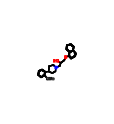 COc1ccccc1C1CCN(CC(O)COc2cccc3ccccc23)CC1